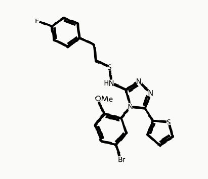 COc1ccc(Br)cc1-n1c(NSCCc2ccc(F)cc2)nnc1-c1cccs1